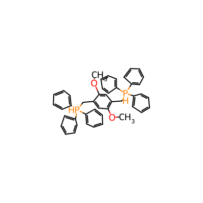 COc1cc(C[PH](c2ccccc2)(c2ccccc2)c2ccccc2)c(OC)cc1C[PH](c1ccccc1)(c1ccccc1)c1ccccc1